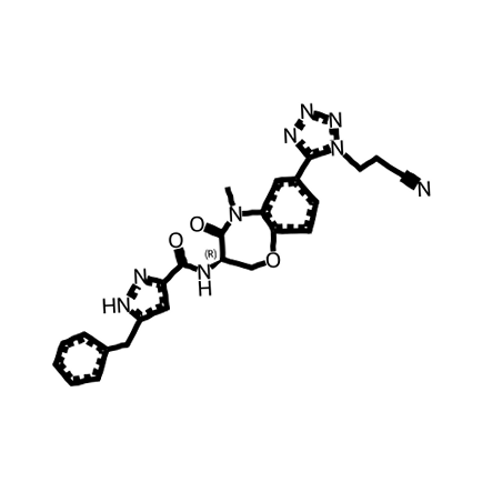 CN1C(=O)[C@H](NC(=O)c2cc(Cc3ccccc3)[nH]n2)COc2ccc(-c3nnnn3CCC#N)cc21